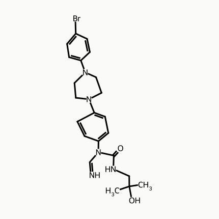 CC(C)(O)CNC(=O)N(C=N)c1ccc(N2CCN(c3ccc(Br)cc3)CC2)cc1